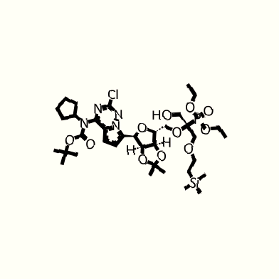 CCOP(=O)(OCC)[C@](CO)(COCC[Si](C)(C)C)OC[C@H]1O[C@H](c2ccc3c(N(C(=O)OC(C)(C)C)C4CCCC4)nc(Cl)nn23)[C@@H]2OC(C)(C)O[C@@H]21